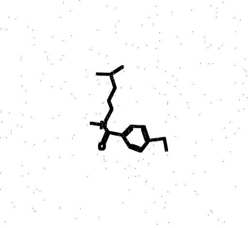 CCc1ccc(C(=O)N(C)CCCC(C)C)cc1